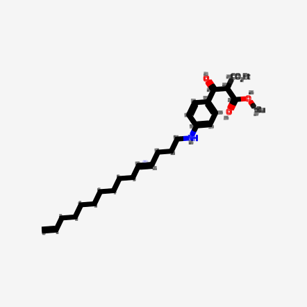 C=CCCCCCCCC/C=C/CCCNc1ccc(C(=O)C(C(=O)OCC)C(=O)OC(C)(C)C)cc1